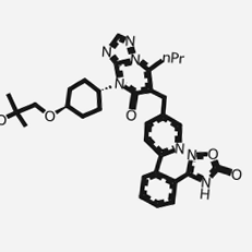 CCCc1c(Cc2ccc(-c3ccccc3-c3noc(=O)[nH]3)nc2)c(=O)n([C@H]2CC[C@H](OCC(C)(C)O)CC2)c2ncnn12